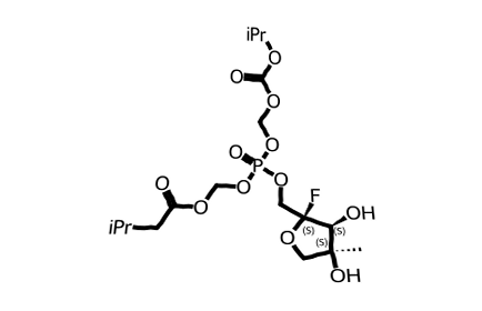 CC(C)CC(=O)OCOP(=O)(OCOC(=O)OC(C)C)OC[C@@]1(F)OC[C@](C)(O)[C@@H]1O